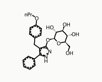 CCCOc1ccc(Cc2c(O[C@@H]3O[C@H](CO)[C@@H](O)[C@H](O)[C@H]3O)n[nH]c2-c2ccccc2)cc1